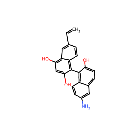 C=Cc1ccc2c(-c3c(O)ccc4cc(N)ccc34)c(O)cc(O)c2c1